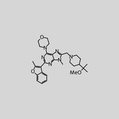 COC(C)(C)C1CCN(Cc2nc3c(N4CCOCC4)nc(-c4c(C)oc5ccccc45)nc3n2C)CC1